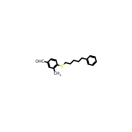 Cc1cc(C=O)ccc1SCCCCCc1ccccc1